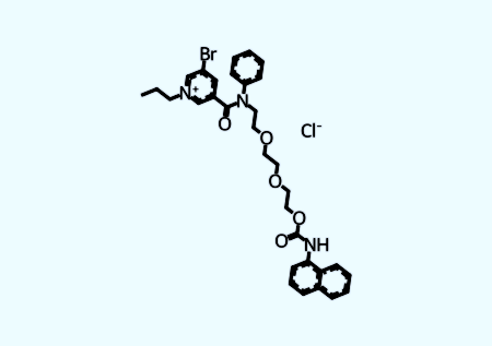 CCC[n+]1cc(Br)cc(C(=O)N(CCOCCOCCOC(=O)Nc2cccc3ccccc23)c2ccccc2)c1.[Cl-]